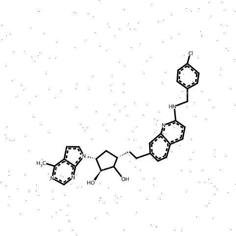 Cc1ncnc2c1ccn2[C@@H]1C[C@H](CCc2ccc3ccc(NCc4ccc(Cl)cc4)nc3c2)C(O)[C@H]1O